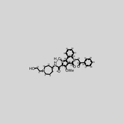 COc1c(C(=O)NC2CCCN(CCO)CC2)n(C)c2c1c(=O)n(CC(=O)c1ccccc1)c1ccccc21